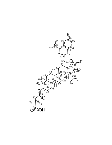 CC(=O)OC(CN(CCN(C)C)Cc1ccc(F)cc1)[C@@]12CC[C@]3(C)[C@H](CC[C@@H]4[C@@]5(C)CC[C@H](OC(=O)CC(C)(C)C(=O)O)C(C)(C)[C@@H]5CC[C@]43C)C1=C(C(C)C)C(=O)C2